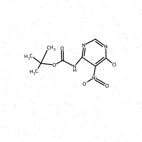 CC(C)(C)OC(=O)Nc1ncnc(Cl)c1[N+](=O)[O-]